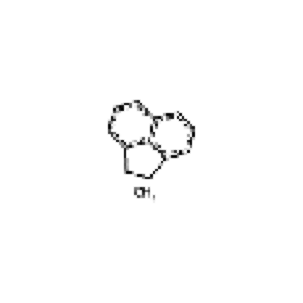 C.c1cc2c3c(cccc3c1)CC2